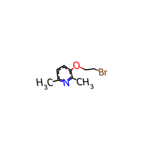 Cc1ccc(OCCBr)c(C)n1